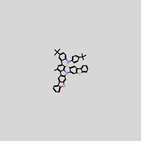 Cc1cc2c3c4c1c1cc5c(cc1n4-c1cc4sc6ccccc6c4cc1B3N(c1ccc(C(C)(C)C)cc1)c1ccc(C(C)(C)C)cc1-2)oc1ccccc15